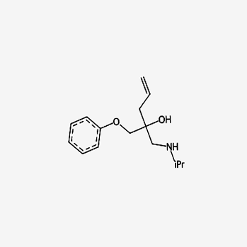 C=CCC(O)(CNC(C)C)COc1ccccc1